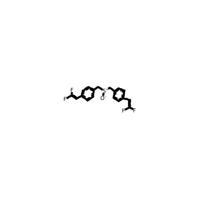 [O-][S+](Cc1ccc(C=C(F)F)cc1)Cc1ccc(C=C(F)F)cc1